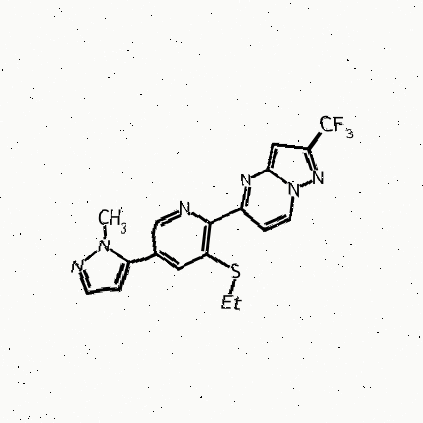 CCSc1cc(-c2ccnn2C)cnc1-c1ccn2nc(C(F)(F)F)cc2n1